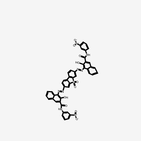 O=C(Nc1cccc([N+](=O)[O-])c1)c1cc2ccccc2c(N=Nc2ccc3c(c2)S(=O)(=O)c2cc(N=Nc4c(O)c(C(=O)Nc5cccc([N+](=O)[O-])c5)cc5ccccc45)ccc2-3)c1O